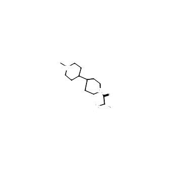 C[C@@H](N)C(=O)N1CCC(C2CCN(C)CC2)CC1